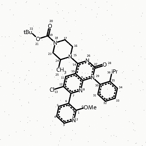 COc1ncccc1-c1nc2c(cc1Cl)c(N1CCN(C(=O)OC(C)(C)C)CC1C)nc(=O)n2-c1ccccc1C(C)C